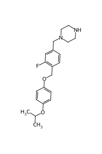 CC(C)Oc1ccc(OCc2ccc(CN3CCNCC3)cc2F)cc1